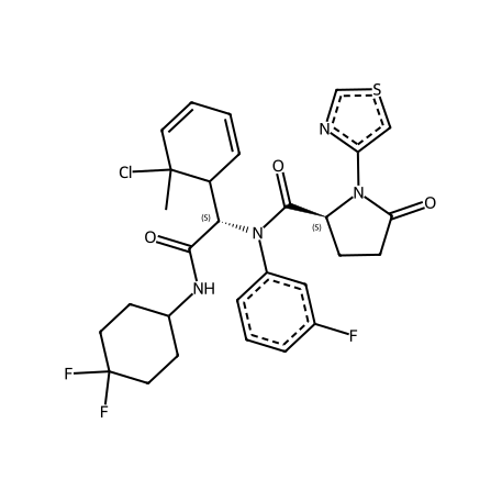 CC1(Cl)C=CC=CC1[C@@H](C(=O)NC1CCC(F)(F)CC1)N(C(=O)[C@@H]1CCC(=O)N1c1cscn1)c1cccc(F)c1